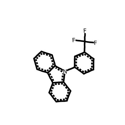 FC(F)(F)c1cccc(-n2c3ccccc3c3ccccc32)c1